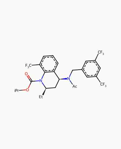 CC[C@@H]1C[C@H](N(Cc2cc(C(F)(F)F)cc(C(F)(F)F)c2)C(C)=O)c2cccc(C(F)(F)F)c2N1C(=O)OC(C)C